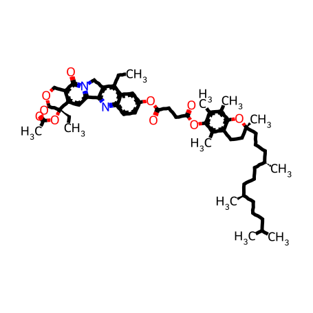 CCc1c2c(nc3ccc(OC(=O)CCC(=O)Oc4c(C)c(C)c5c(c4C)CC[C@@](C)(CCC[C@H](C)CCC[C@H](C)CCCC(C)C)O5)cc13)-c1cc3c(c(=O)n1C2)COC(=O)[C@@]3(CC)OC(C)=O